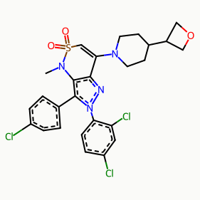 CN1c2c(nn(-c3ccc(Cl)cc3Cl)c2-c2ccc(Cl)cc2)C(N2CCC(C3COC3)CC2)=CS1(=O)=O